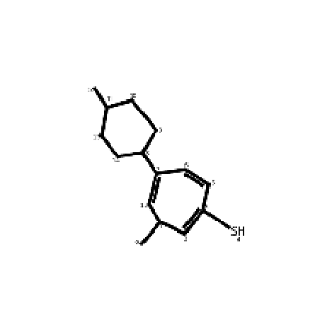 CC1C=C(S)C=CC(C2CCC(C)CC2)=C1